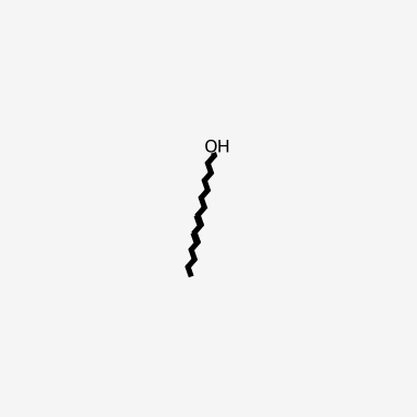 CCCCC=CC=CCCCCCCCO